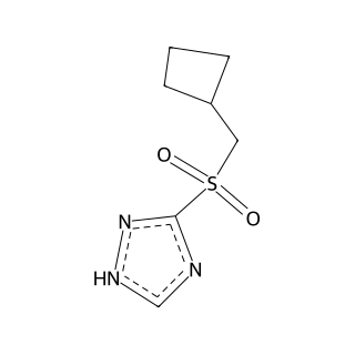 O=S(=O)(CC1CCC1)c1nc[nH]n1